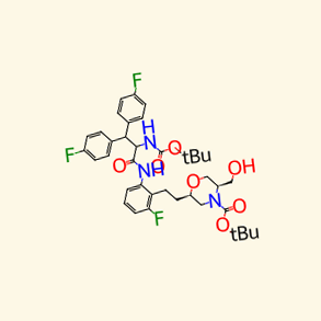 CC(C)(C)OC(=O)NC(C(=O)Nc1cccc(F)c1CC[C@@H]1CN(C(=O)OC(C)(C)C)[C@H](CO)CO1)C(c1ccc(F)cc1)c1ccc(F)cc1